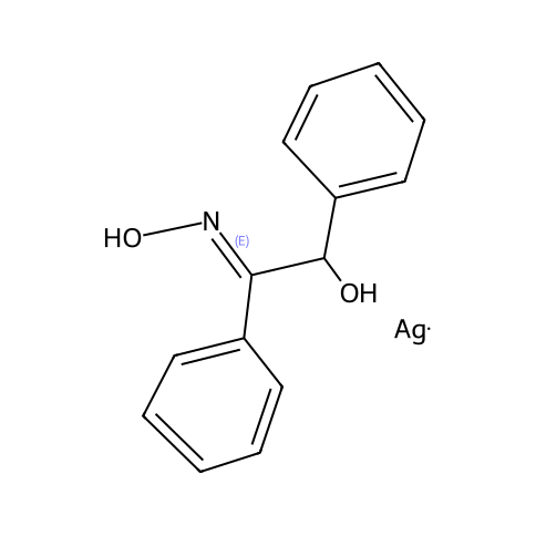 O/N=C(\c1ccccc1)C(O)c1ccccc1.[Ag]